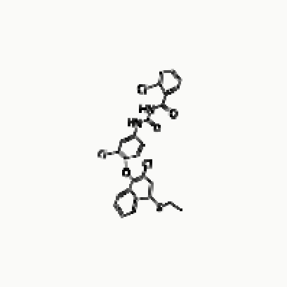 CCSc1cc(Cl)c(Oc2ccc(NC(=O)NC(=O)c3ccccc3Cl)cc2Cl)c2ccccc12